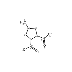 CN1CC([N+](=O)[O-])C([N+](=O)[O-])C1